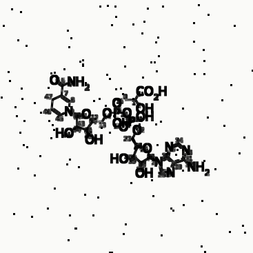 CC(O)C(=O)O.NC(=O)C1=CN([C@@H]2O[C@H](COP(=O)(O)OP(=O)(O)OC[C@H]3O[C@@H](n4cnc5c(N)ncnc54)[C@H](O)[C@@H]3O)[C@@H](O)[C@H]2O)C=CC1